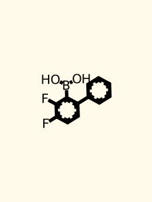 OB(O)c1c(-c2ccccc2)ccc(F)c1F